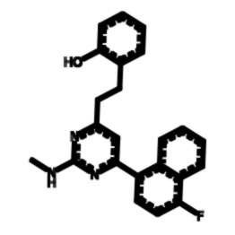 CNc1nc(CCc2ccccc2O)cc(-c2ccc(F)c3ccccc23)n1